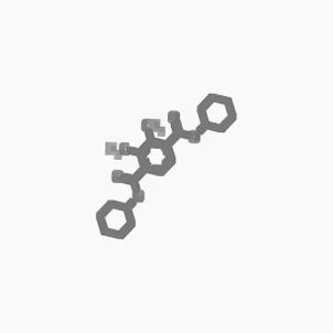 Cc1c(C(=O)OC2CCCCC2)ccc(C(=O)OC2CCCCC2)c1C